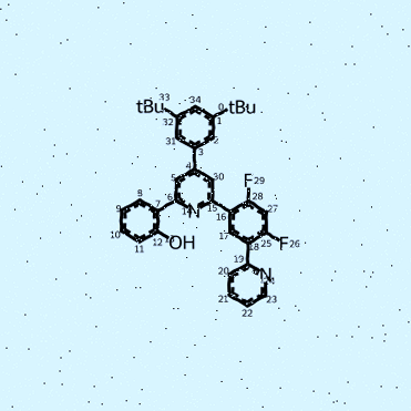 CC(C)(C)c1cc(-c2cc(-c3ccccc3O)nc(-c3cc(-c4ccccn4)c(F)cc3F)c2)cc(C(C)(C)C)c1